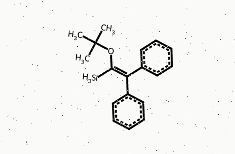 CC(C)(C)OC([SiH3])=C(c1ccccc1)c1ccccc1